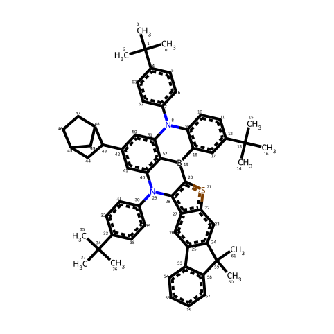 CC(C)(C)c1ccc(N2c3ccc(C(C)(C)C)cc3B3c4sc5cc6c(cc5c4N(c4ccc(C(C)(C)C)cc4)c4cc(C5CC7CCC5C7)cc2c43)-c2ccccc2C6(C)C)cc1